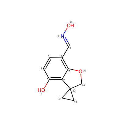 O/N=C/c1ccc(O)c2c1OCC21CC1